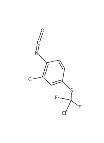 O=C=Nc1ccc(SC(F)(F)Cl)cc1Cl